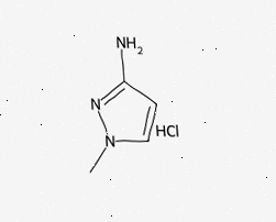 Cl.Cn1ccc(N)n1